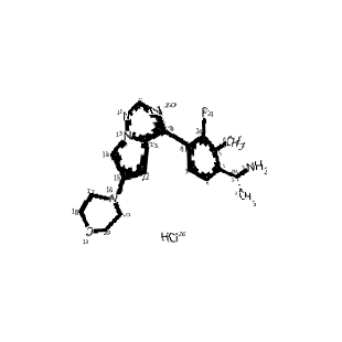 Cc1c([C@@H](C)N)ccc(-c2ncnn3cc(N4CCOCC4)cc23)c1F.Cl